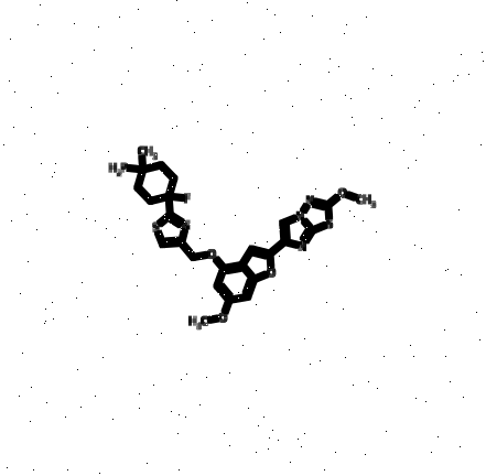 COc1cc(OCc2csc(C3(F)CCC(C)(P)CC3)n2)c2cc(-c3cn4nc(OC)sc4n3)oc2c1